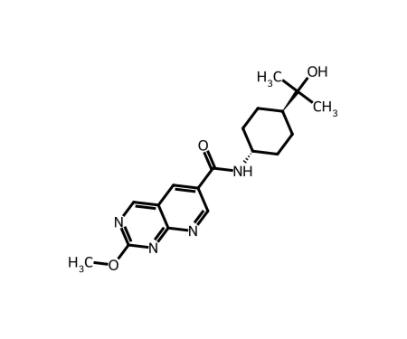 COc1ncc2cc(C(=O)N[C@H]3CC[C@H](C(C)(C)O)CC3)cnc2n1